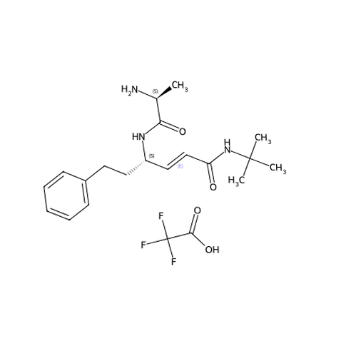 C[C@H](N)C(=O)N[C@H](/C=C/C(=O)NC(C)(C)C)CCc1ccccc1.O=C(O)C(F)(F)F